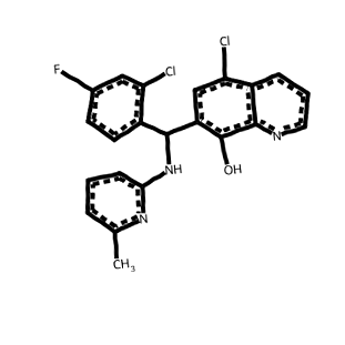 Cc1cccc(NC(c2ccc(F)cc2Cl)c2cc(Cl)c3cccnc3c2O)n1